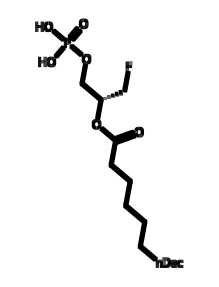 CCCCCCCCCCCCCCCC(=O)O[C@@H](CF)COP(=O)(O)O